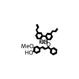 C=CCc1ccc(O)c(-c2cc(CC=C)ccc2O)c1.COc1cc(/C=C/C(=O)c2ccccc2)ccc1O